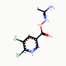 C/C(N)=N\OC(=O)c1cnc(Cl)c(Cl)c1